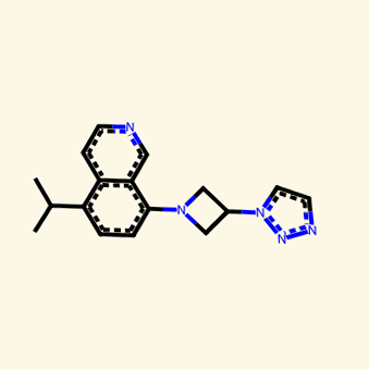 CC(C)c1ccc(N2CC(n3ccnn3)C2)c2cnccc12